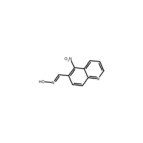 O=[N+]([O-])c1c(C=NO)ccc2ncccc12